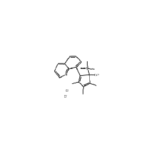 CC1=C(C)[C]([Cr+2])([Si](C)(C)C)C(c2cccc3cccnc23)=C1C.[Cl-].[Cl-]